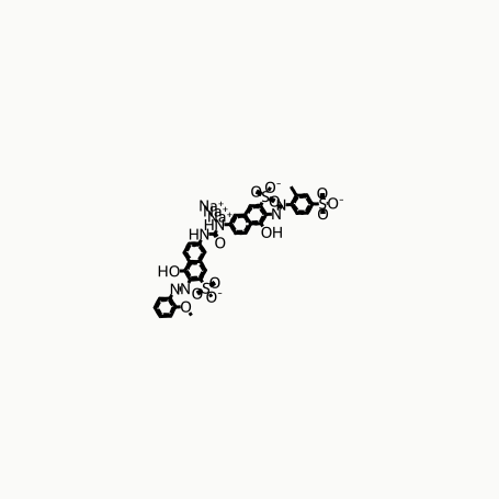 COc1ccccc1N=Nc1c(S(=O)(=O)[O-])cc2cc(NC(=O)Nc3ccc4c(O)c(N=Nc5ccc(S(=O)(=O)[O-])cc5C)c(S(=O)(=O)[O-])cc4c3)ccc2c1O.[Na+].[Na+].[Na+]